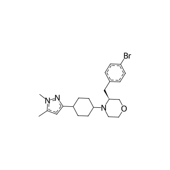 Cc1cc(C2CCC(N3CCOC[C@@H]3Cc3ccc(Br)cc3)CC2)nn1C